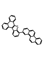 c1ccc2c(c1)ccc1c3cc(-c4cccc5c4sc4c6ccccc6c6ccccc6c54)ccc3ccc21